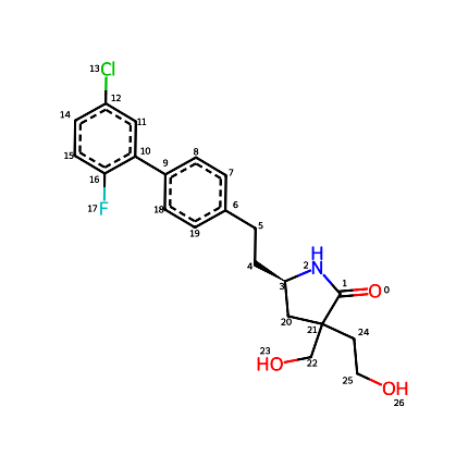 O=C1N[C@H](CCc2ccc(-c3cc(Cl)ccc3F)cc2)CC1(CO)CCO